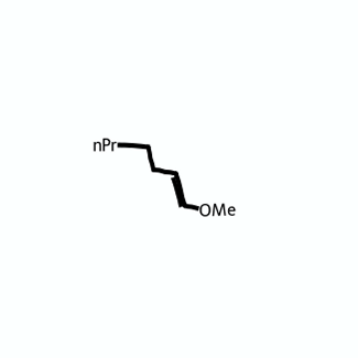 [CH2]CCCCC=COC